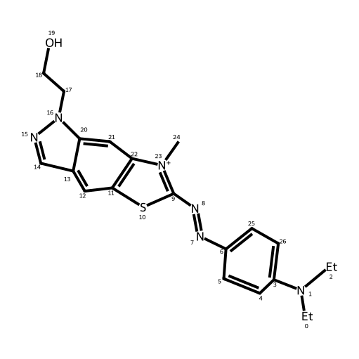 CCN(CC)c1ccc(/N=N/c2sc3cc4cnn(CCO)c4cc3[n+]2C)cc1